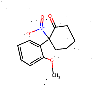 COc1ccccc1C1([N+](=O)[O-])CCCCC1=O